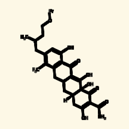 CC(C)OCCN(C)Cc1cc(O)c2c(c1C(F)(F)F)CC1C[C@H]3CC(O)=C(C(N)=O)C(=O)[C@@]3(O)C(O)=C1C2=O